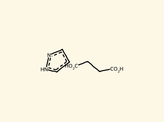 O=C(O)CCC(=O)O.c1cn[nH]c1